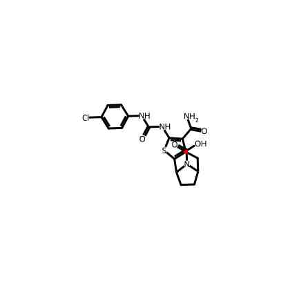 NC(=O)c1c(NC(=O)Nc2ccc(Cl)cc2)sc2c1CC1CCC2N1C(=O)O